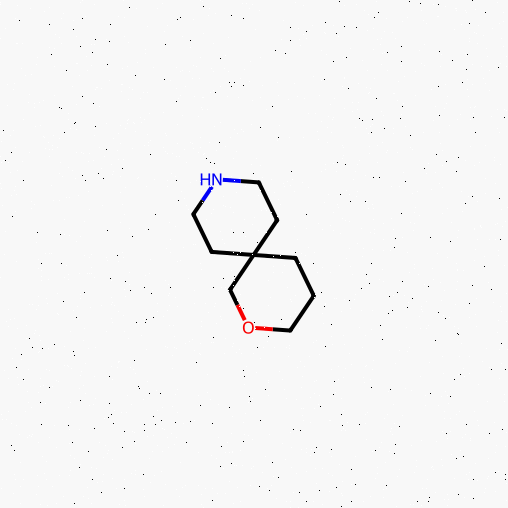 C1COCC2(C1)CCNCC2